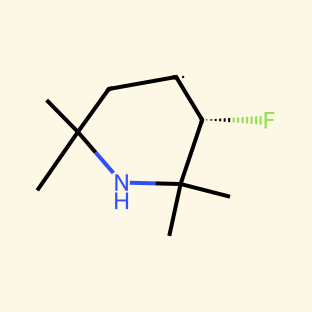 CC1(C)C[CH][C@H](F)C(C)(C)N1